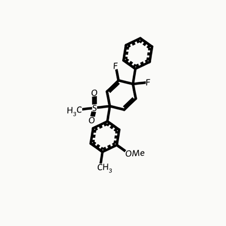 COc1cc(C2(S(C)(=O)=O)C=CC(F)(c3ccccc3)C(F)=C2)ccc1C